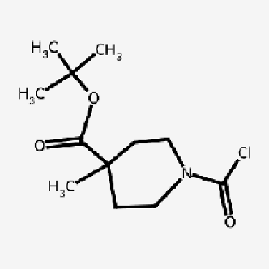 CC(C)(C)OC(=O)C1(C)CCN(C(=O)Cl)CC1